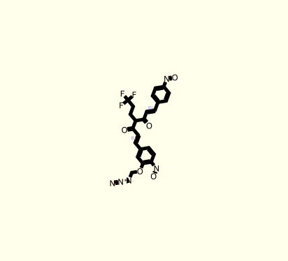 [N-]=[N+]=NCOc1cc(/C=C/C(=O)C(CCC(F)(F)F)C(=O)/C=C/c2ccc(N=O)cc2)ccc1N=O